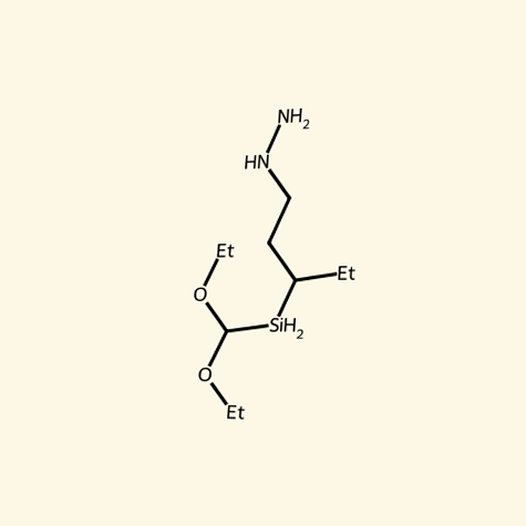 CCOC(OCC)[SiH2]C(CC)CCNN